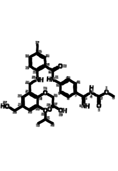 COC(=O)NC(=N)c1ccc(NC(=O)c2cc(C)ccc2NCc2cc(CO)cc(OC(C)C)c2OCC(=O)O)cc1